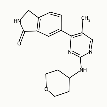 Cc1cnc(NC2CCOCC2)nc1-c1ccc2c(c1)C(=O)NC2